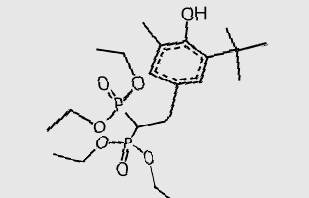 CCOP(=O)(OCC)C(Cc1cc(C)c(O)c(C(C)(C)C)c1)P(=O)(OCC)OCC